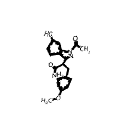 COc1ccc(CC(C(N)=O)c2nn(C(C)=O)c3cc(O)ccc23)cc1